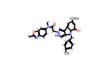 COC1=CC(=O)C2C(=C1)C1=CN(CC(=O)N(C)c3ccc4nc(C)oc4c3)NC=C1N2Cc1ccc(C#N)cc1